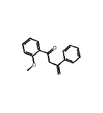 C=C(CC(=O)c1ccccc1OC)c1ccccc1